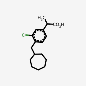 CC(C(=O)O)c1ccc(CC2CCCCCC2)c(Cl)c1